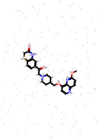 COc1ccc2nccc(OCC3CCN(CC(=O)c4ccc5c(c4)NC(=O)CS5)CC3)c2n1